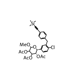 CO[C@H]1O[C@@H](c2ccc(Cl)c(Cc3ccc(C#C[Si](C)(C)C)cc3)c2)[C@H](OC(C)=O)C(OC(C)=O)C1OC(C)=O